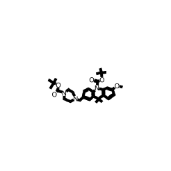 COc1ccc2c(c1)N(C(=O)OC(C)(C)C)c1ccc(CN3CCN(C(=O)OC(C)(C)C)CC3)cc1C2(C)C